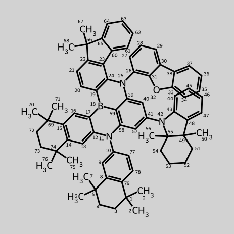 CC1(C)CCC(C)(C)c2cc(N3c4cc5c(cc4B4c6ccc7c(c6N(c6cccc8c6oc6ccccc68)c6cc(N8c9ccccc9C9(C)CCCCC89C)cc3c64)-c3ccccc3C7(C)C)C(C)(C)CCC5(C)C)ccc21